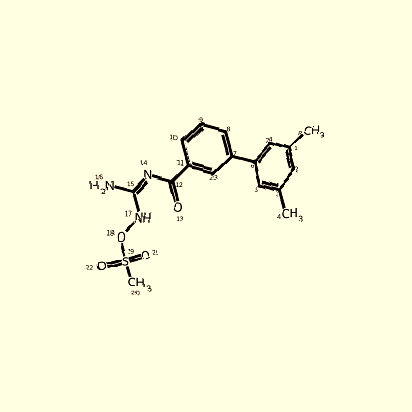 Cc1cc(C)cc(-c2cccc(C(=O)N=C(N)NOS(C)(=O)=O)c2)c1